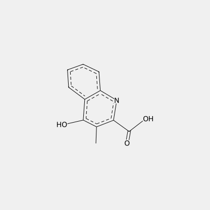 Cc1c(C(=O)O)nc2ccccc2c1O